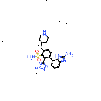 Nc1nc2cccc(-c3ccc(CC4CCNCC4)c(S(N)(=O)=O)c3-c3nn[nH]n3)c2[nH]1